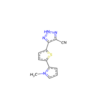 Cn1cccc1-c1ccc(-c2n[nH]nc2C#N)s1